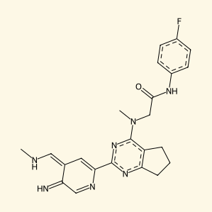 CN/C=C1/C=C(c2nc3c(c(N(C)CC(=O)Nc4ccc(F)cc4)n2)CCC3)N=CC1=N